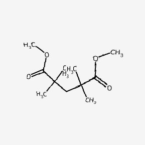 COC(=O)C(C)(C)CC(C)(C)C(=O)OC